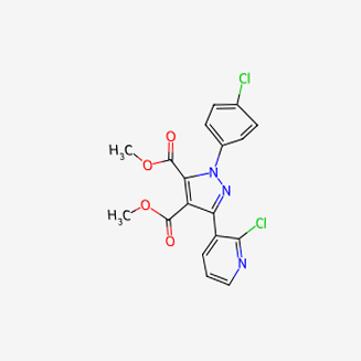 COC(=O)c1c(-c2cccnc2Cl)nn(-c2ccc(Cl)cc2)c1C(=O)OC